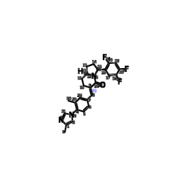 Cc1cn(-c2ccc(/C=C3\CC[C@H]4CC[C@@H](c5cc(F)c(F)cc5F)N4C3=O)cc2C)cn1